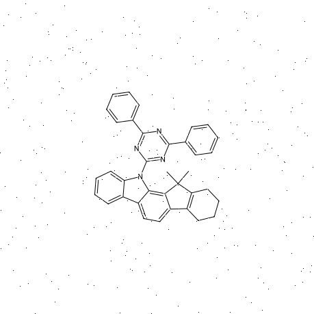 CC1(C)C2=C(CCCC2)c2ccc3c4ccccc4n(-c4nc(-c5ccccc5)nc(-c5ccccc5)n4)c3c21